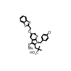 CC(C)(C)Sc1c(CC(C)(C)C(=O)O)n(Cc2ccc(Cl)cc2)c2ncc(OCc3nc4ccccc4s3)cc12